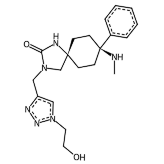 CN[C@]1(c2ccccc2)CC[C@@]2(CC1)CN(Cc1cn(CCO)nn1)C(=O)N2